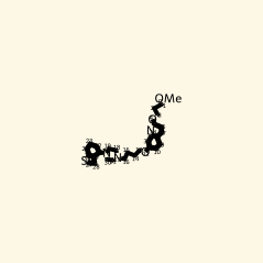 COC[CH]COc1ccc2ccc(OCCCCN3CCN(c4cccc5sccc45)CC3)cc2n1